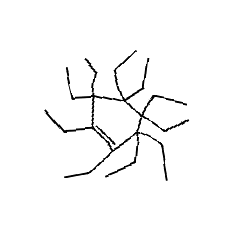 CCC1=C(CC)C(CC)(CC)C(CC)(CC)C(CC)(CC)C1(CC)CC